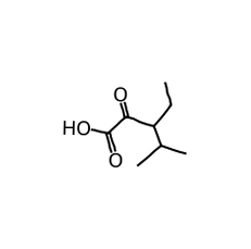 CCC(C(=O)C(=O)O)C(C)C